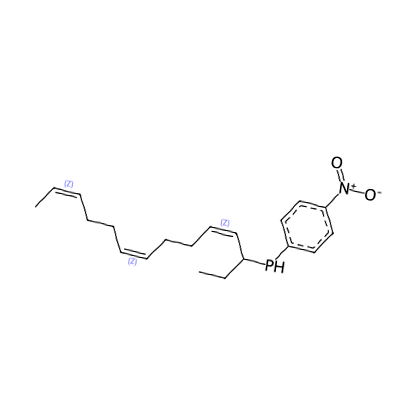 C/C=C\CC/C=C\CC/C=C\C(CC)Pc1ccc([N+](=O)[O-])cc1